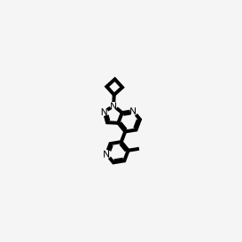 Cc1ccncc1-c1ccnc2c1cnn2C1CCC1